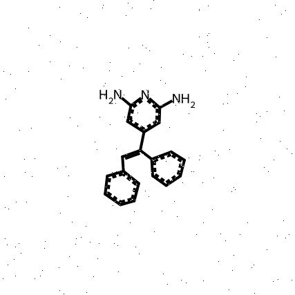 Nc1cc(C(=Cc2ccccc2)c2ccccc2)cc(N)n1